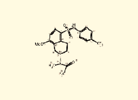 COc1ccc(S(=O)(=O)Nc2ccc(C(F)(F)F)cc2)c2c1C[C@@H](N(C)C(=O)C(F)(F)F)CC2